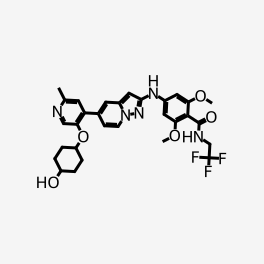 COc1cc(Nc2cc3cc(-c4cc(C)ncc4OC4CCC(O)CC4)ccn3n2)cc(OC)c1C(=O)NCC(F)(F)F